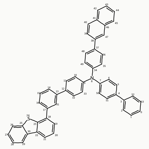 c1ccc(-c2ccc(N(c3ccc(-c4cccc(-c5cccc6c5sc5ccccc56)c4)cc3)c3ccc(-c4ccc5ccccc5c4)cc3)cc2)cc1